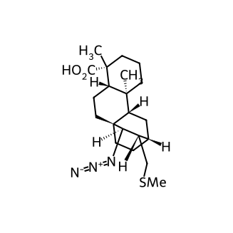 CSC[C@H]1[C@H]2CC[C@@]3(CC[C@H]4[C@@](C)(CCC[C@@]4(C)C(=O)O)[C@@H]3C2)[C@@H]1N=[N+]=[N-]